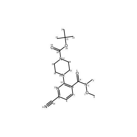 CON(C)C(=O)c1ccc(C#N)nc1N1CCN(C(=O)OC(C)(C)C)CC1